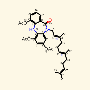 CC(=O)Oc1cc(OC(C)=O)c2c(c1)N(C/C=C(\C)CC/C=C(\C)CCC=C(C)C)C(=O)c1cccc(OC(C)=O)c1N2